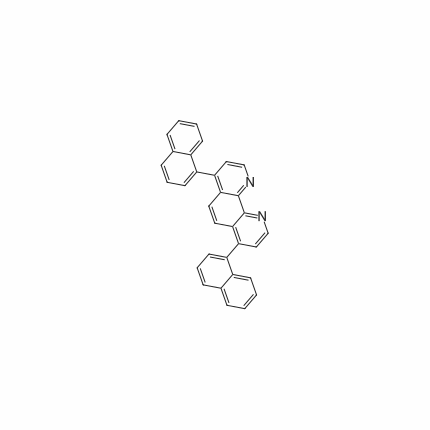 c1ccc2c(-c3ccnc4c3ccc3c(-c5cccc6ccccc56)ccnc34)cccc2c1